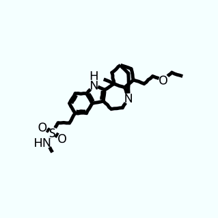 CCOCCC1CC2CN3CCc4c([nH]c5ccc(CCS(=O)(=O)NC)cc45)C(C)(C2)C13